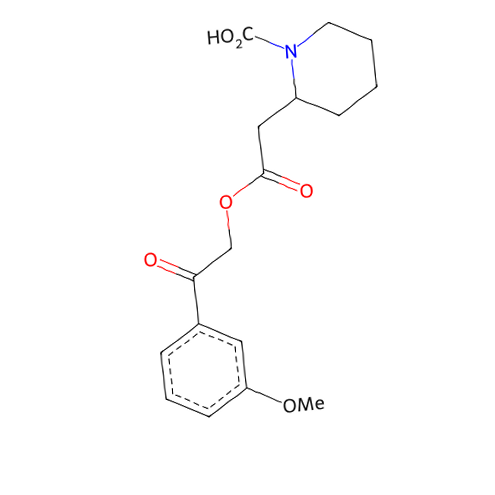 COc1cccc(C(=O)COC(=O)CC2CCCCN2C(=O)O)c1